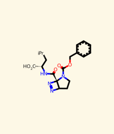 CC(C)C[C@H](NC(=O)[C@]12N=NC1CCN2C(=O)OCc1ccccc1)C(=O)O